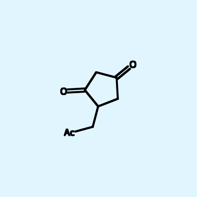 CC(=O)CC1CC(=O)CC1=O